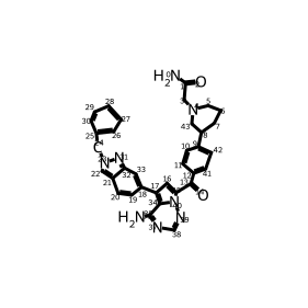 NC(=O)CN1CCCC(c2ccc(C(=O)c3cc(-c4ccc5cn(Cc6ccccc6)nc5c4)c4c(N)ncnn34)cc2)C1